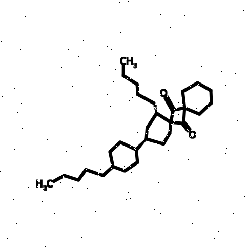 CCCCCC1CCC([C@@H]2CCC3(C(=O)C4(CCCCC4)C3=O)[C@@H](CCCCC)C2)CC1